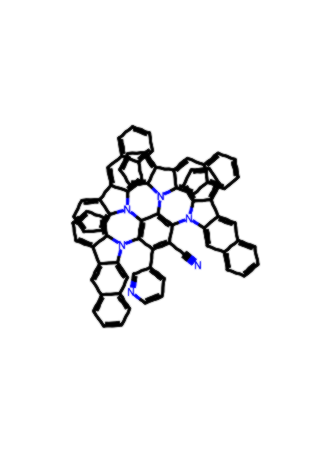 N#Cc1c(-c2cccnc2)c(-n2c3ccccc3c3cc4ccccc4cc32)c(-n2c3ccccc3c3cc4ccccc4cc32)c(-n2c3ccccc3c3cc4ccccc4cc32)c1-n1c2ccccc2c2cc3ccccc3cc21